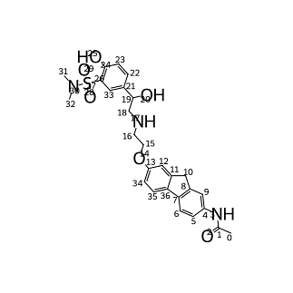 CC(=O)Nc1ccc2c(c1)Cc1cc(OCCNCC(O)c3ccc(O)c(S(=O)(=O)N(C)C)c3)ccc1-2